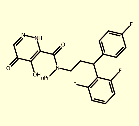 CCCN(CCC(c1ccc(F)cc1)c1c(F)cccc1F)C(=O)c1[nH]ncc(=O)c1O